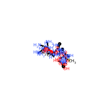 CSCC[C@H](NC(=O)[C@H](CO)NC(=O)[C@H](Cc1ccc(O)cc1)NC(=O)[C@@H](N)CO)C(=O)N[C@@H](CCC(=O)O)C(=O)N[C@@H](Cc1cnc[nH]1)C(=O)N[C@@H](Cc1ccccc1)C(=O)N[C@@H](CCCNC(=N)N)C(=O)N[C@@H](Cc1c[nH]c2ccccc12)C(=O)NCC(=O)N[C@@H](CCCCN)C(=O)N1CCC[C@H]1C(=O)N[C@H](C(=O)NCC(=O)N[C@@H](CCCCN)C(=O)N[C@@H](CCCCN)C(=O)N[C@@H](CCCNC(=N)N)C(=O)O)C(C)C